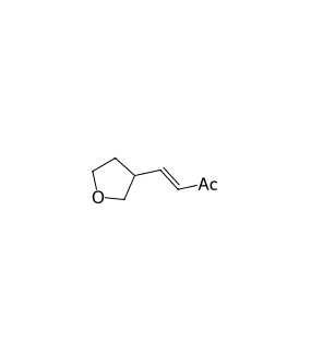 CC(=O)C=CC1CCOC1